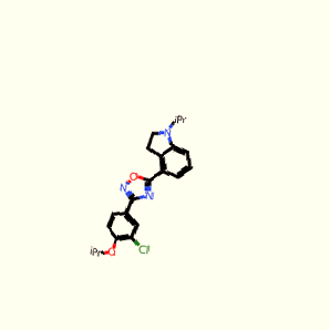 CC(C)Oc1ccc(-c2noc(-c3cccc4c3CCN4C(C)C)n2)cc1Cl